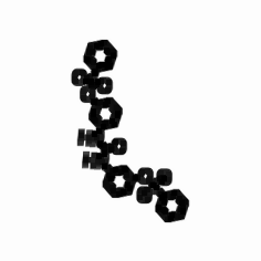 O=C(Nc1cccc(OS(=O)(=O)c2ccccc2)c1)Nc1cccc(OS(=O)(=O)c2ccccc2)c1